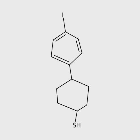 SC1CCC(c2ccc(I)cc2)CC1